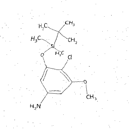 COc1cc(N)cc(O[Si](C)(C)C(C)(C)C)c1Cl